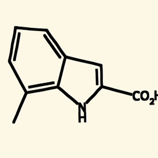 Cc1cccc2cc(C(=O)O)[nH]c12